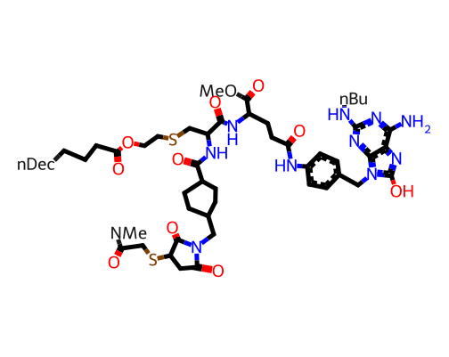 CCCCCCCCCCCCCC(=O)OCCSCC(NC(=O)C1CCC(CN2C(=O)CC(SCC(=O)NC)C2=O)CC1)C(=O)NC(CCC(=O)Nc1ccc(Cn2c(O)nc3c(N)nc(NCCCC)nc32)cc1)C(=O)OC